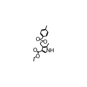 CCOC(=O)c1c[nH]c(C)c1CS(=O)(=O)c1ccc(C)cc1